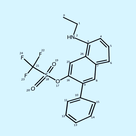 CCNc1cccc2cc(-c3ccccc3)c(OS(=O)(=O)C(F)(F)F)cc12